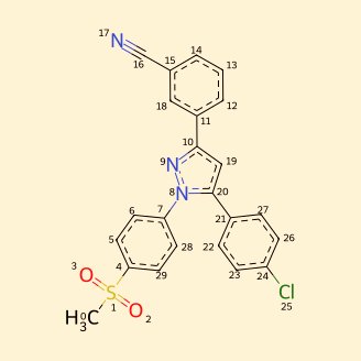 CS(=O)(=O)c1ccc(-n2nc(-c3cccc(C#N)c3)cc2-c2ccc(Cl)cc2)cc1